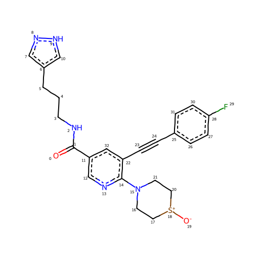 O=C(NCCCc1cn[nH]c1)c1cnc(N2CC[S+]([O-])CC2)c(C#Cc2ccc(F)cc2)c1